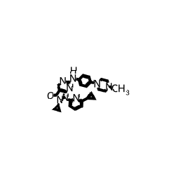 CN1CCN(c2ccc(Nc3ncc4c(=O)n(C5CC5)n(-c5cccc(C6CC6)n5)c4n3)cc2)CC1